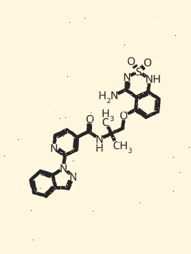 CC(C)(COc1cccc2c1C(N)=NS(=O)(=O)N2)NC(=O)c1ccnc(-n2ncc3ccccc32)c1